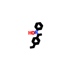 CCc1ccc(C(C)N(O)c2ccccc2)cc1